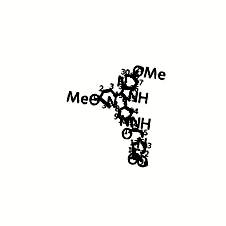 COc1ccc(-c2c(-c3ccnc(NC(=O)CN4CCS(=O)(=O)CC4)c3)[nH]c3cc(OC)cnc23)nc1